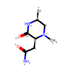 CC(=O)[C@H]1CN(C)[C@@H](CC(N)=O)C(=O)N1